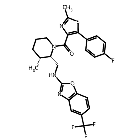 Cc1nc(C(=O)N2CCC[C@@H](C)[C@H]2CNc2nc3cc(C(F)(F)F)ccc3o2)c(-c2ccc(F)cc2)s1